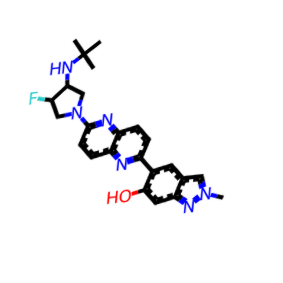 Cn1cc2cc(-c3ccc4nc(N5CC(F)C(NC(C)(C)C)C5)ccc4n3)c(O)cc2n1